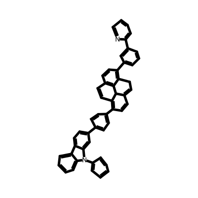 C1=CC(c2ccc(-c3ccc4c5ccccc5n(-c5ccccc5)c4c3)cc2)=C2C=Cc3ccc(-c4cccc(-c5ccccn5)c4)c4c3C2C1=CC4